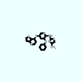 Cc1csc(Nc2ncc(Sc3ccnc4ccsc34)cc2Oc2ccccc2)n1